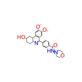 COc1cc2c(cc1OC)C1CC(O)CCC1N=C2c1ccc(C(=O)NN2CCOCC2)cc1